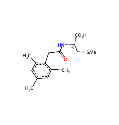 CSC[C@H](NC(=O)Cc1c(C)cc(C)cc1C)C(=O)O